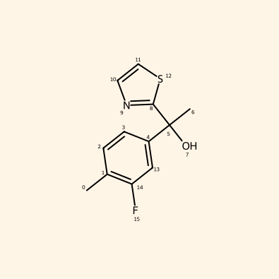 Cc1ccc(C(C)(O)c2nccs2)cc1F